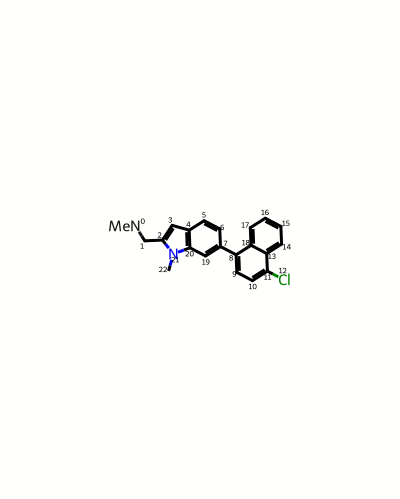 CNCc1cc2ccc(-c3ccc(Cl)c4ccccc34)cc2n1C